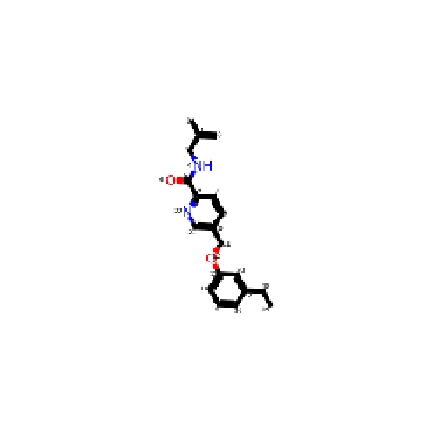 C=C(C)CNC(=O)c1ccc(COc2cccc(CC)c2)cn1